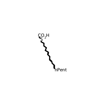 CCCCCC=CCC=CCC=CCCCCCSCC(=O)O